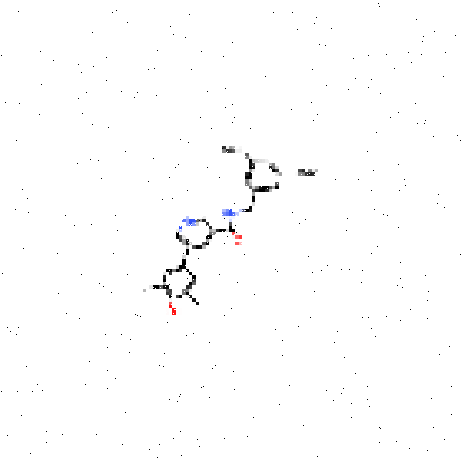 COc1cc(CNC(=O)c2cncc(-c3cc(C)c(O)c(C)c3)c2)cc(OC)c1